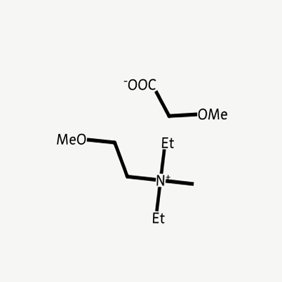 CC[N+](C)(CC)CCOC.COCC(=O)[O-]